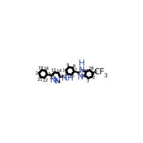 FC(F)(F)c1ccc2nc(-c3cccc(Nc4ccc(-c5ccccc5)nn4)c3)[nH]c2c1